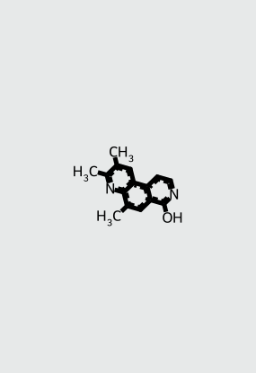 Cc1cc2c(nc1C)c(C)cc1c(O)nccc12